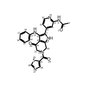 CC(=O)Nc1cc(-c2[nH]c3c(c2Nc2ccccc2)C(=O)CN(C(=O)c2cncs2)C3)ccn1